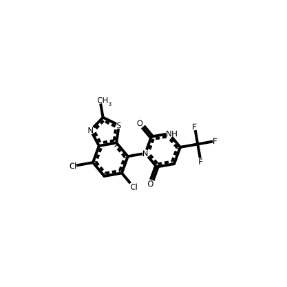 Cc1nc2c(Cl)cc(Cl)c(-n3c(=O)cc(C(F)(F)F)[nH]c3=O)c2s1